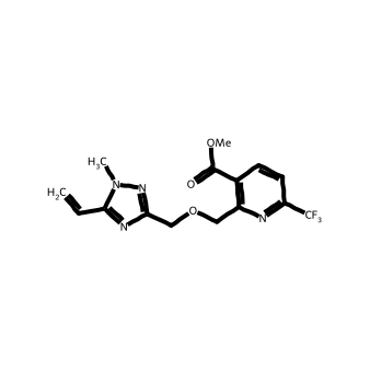 C=Cc1nc(COCc2nc(C(F)(F)F)ccc2C(=O)OC)nn1C